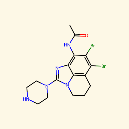 CC(=O)Nc1c(Br)c(Br)c2c3c1nc(N1CCNCC1)n3CCC2